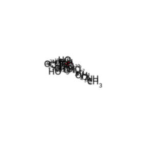 CNc1cccc(Cc2ccc([C@H]3O[C@@H]4C[C@H]5[C@@H]6CCC7=CC(=O)C=C[C@]7(C)[C@@]6(F)[C@@H](O)C[C@]5(C)[C@]4(C(=O)CO)O3)cc2O)c1